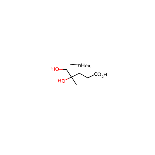 CC(O)(CO)CCC(=O)O.CCCCCCC